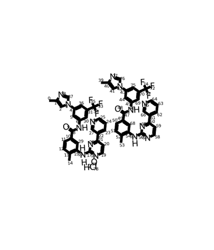 Cc1cn(-c2cc(NC(=O)c3ccc(C)c(Nc4nccc(-c5cccnc5)n4)c3)cc(C(F)(F)F)c2)cn1.Cc1cn(-c2cc(NC(=O)c3ccc(C)c(Nc4nccc(-c5cccnc5)n4)c3)cc(C(F)(F)F)c2)cn1.Cl.O